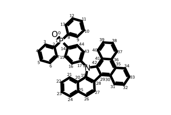 O=P(c1ccccc1)(c1ccccc1)c1ccc(-n2c3c4ccccc4ccc3c3c4ccccc4c4ccccc4c32)cc1